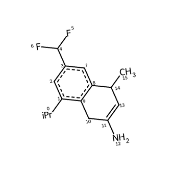 CC(C)c1cc(C(F)F)cc2c1CC(N)=CC2C